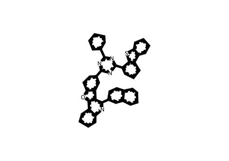 c1ccc(-c2nc(-c3ccc4oc5c6ccccc6nc(-c6ccc7ccccc7c6)c5c4c3)nc(-c3cccc4c3sc3ccccc34)n2)cc1